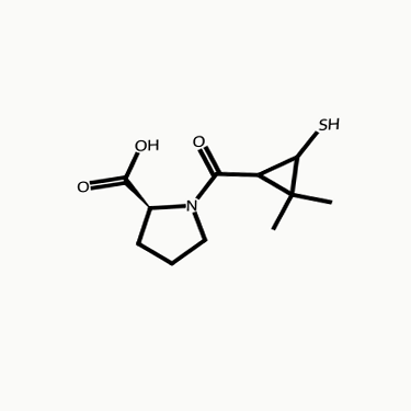 CC1(C)C(S)C1C(=O)N1CCC[C@H]1C(=O)O